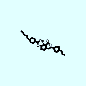 CCCCCC1CCC(C(=O)Oc2ccc3c(c2F)C(=O)OC(c2ccc(CCC)cc2)C3)CC1